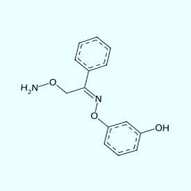 NOC/C(=N\Oc1cccc(O)c1)c1ccccc1